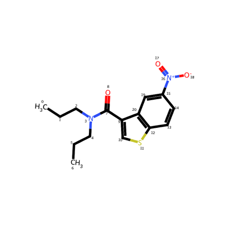 CCCN(CCC)C(=O)c1csc2ccc([N+](=O)[O-])cc12